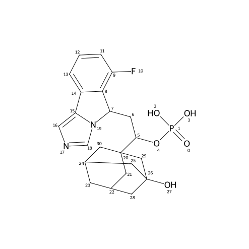 O=P(O)(O)OC(CC1c2c(F)cccc2-c2cncn21)C12CC3CC(CC(O)(C3)C1)C2